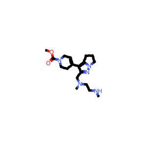 CNCCN(C)Cc1nn2c(c1C1=CCN(C(=O)OC)CC1)CCC2